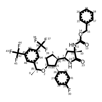 C[C@@H](O[C@H]1CC[C@@H]([C@H]2C[C@](C)(NC(=O)OCc3ccccc3)C(=O)N2)[C@@H]1c1ccc(F)cc1)c1cc(C(F)(F)F)cc(C(F)(F)F)c1